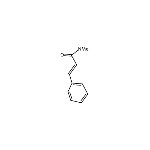 CNC(=O)/C=C/c1c[c]ccc1